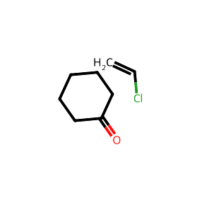 C=CCl.O=C1CCCCC1